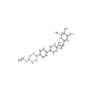 CCOCC1CCC(c2ccc(-c3ccc(C(F)(F)Oc4cc(F)c(F)c(F)c4)cc3)cc2)CC1